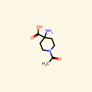 CC(=O)N1CCC(N)(C(=O)O)CC1